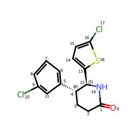 O=C1CC[C@H](c2cccc(Cl)c2)[C@@H](c2ccc(Cl)s2)N1